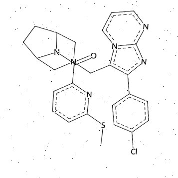 CSc1cccc(C(=O)N2C3CCC2CN(Cc2c(-c4ccc(Cl)cc4)nc4ncccn24)C3)n1